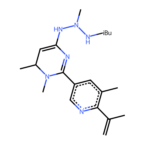 C=C(C)c1ncc(C2=NC(NN(C)NC(C)CC)=CC(C)N2C)cc1C